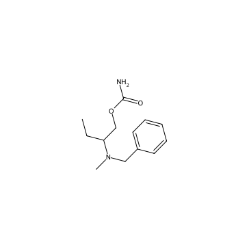 CCC(COC(N)=O)N(C)Cc1ccccc1